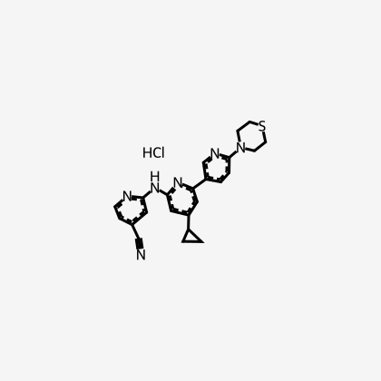 Cl.N#Cc1ccnc(Nc2cc(C3CC3)cc(-c3ccc(N4CCSCC4)nc3)n2)c1